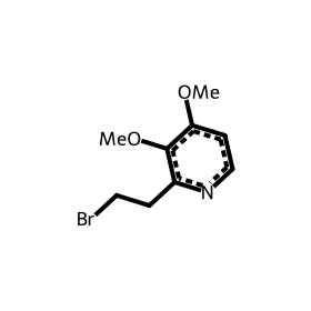 COc1ccnc(CCBr)c1OC